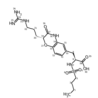 CCCCS(=O)(=O)N[C@@H](Cc1ccc2c(c1)NC(=O)[C@@H](CCCNC(=N)N)O2)C(=O)O